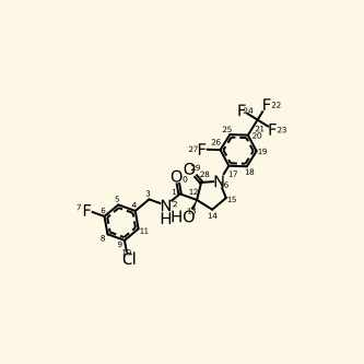 O=C(NCc1cc(F)cc(Cl)c1)[C@@]1(O)CCN(c2ccc(C(F)(F)F)cc2F)C1=O